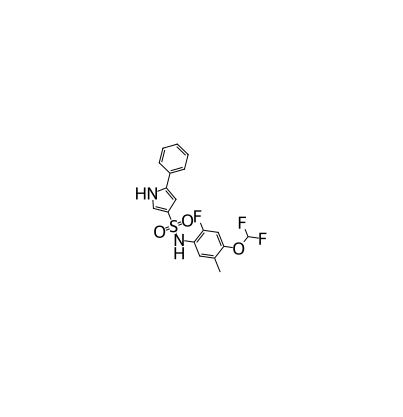 Cc1cc(NS(=O)(=O)c2c[nH]c(-c3ccccc3)c2)c(F)cc1OC(F)F